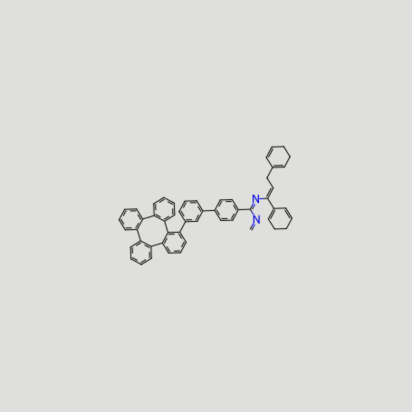 C=N/C(=N\C(=C/CC1=CCCC=C1)C1=CCCC=C1)c1ccc(-c2cccc(-c3cccc4c3-c3ccccc3-c3ccccc3-c3ccccc3-4)c2)cc1